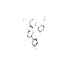 Cc1ccc(-c2cn3c4c(nc3cc2F)[C@H](O)CO[C@H]4c2cc(Cl)ccc2OC(F)F)cc1